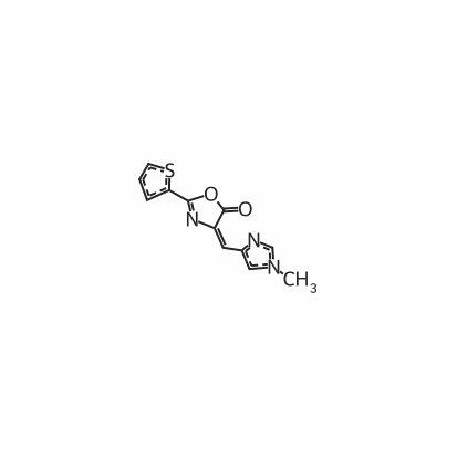 Cn1cnc(/C=C2/N=C(c3cccs3)OC2=O)c1